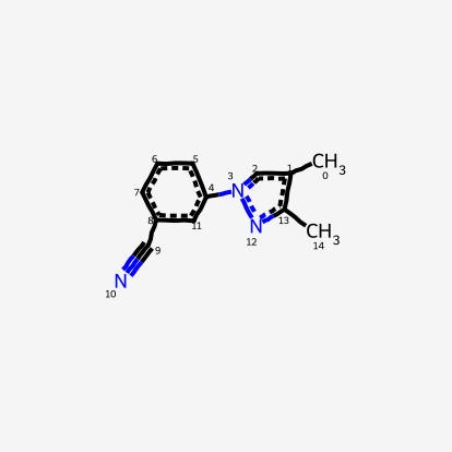 Cc1cn(-c2cccc(C#N)c2)nc1C